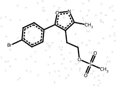 Cc1noc(-c2ccc(Br)cc2)c1CCOS(C)(=O)=O